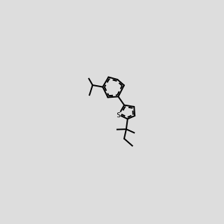 CCC(C)(C)c1ccc(-c2cccc(C(C)C)c2)s1